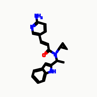 CC(c1cc2ccccc2[nH]1)N(C(=O)C=Cc1ccc(N)nc1)C1CC1